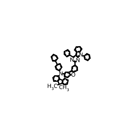 CC1(C)c2ccccc2-c2c(N(c3ccc(-c4ccccc4)cc3)c3ccc4oc5ccc(-c6nc(-c7ccccc7)c7c8ccccc8n(-c8ccccc8)c7n6)cc5c4c3)cccc21